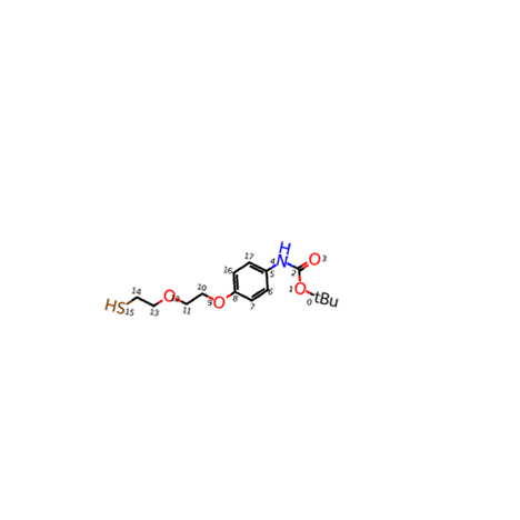 CC(C)(C)OC(=O)Nc1ccc(OCCOCCS)cc1